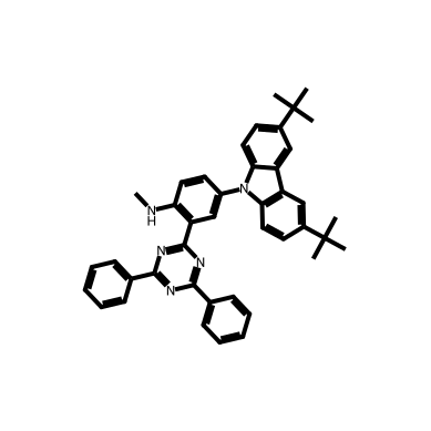 CNc1ccc(-n2c3ccc(C(C)(C)C)cc3c3cc(C(C)(C)C)ccc32)cc1-c1nc(-c2ccccc2)nc(-c2ccccc2)n1